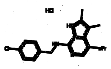 CCCc1cnc(NCc2ccc(Cl)cc2)c2[nH]c(C)c(C)c12.Cl